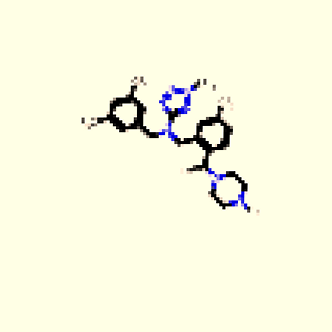 CCC(c1ccc(C(F)(F)F)cc1CN(Cc1cc(C(F)(F)F)cc(C(F)(F)F)c1)c1nnn(C)n1)N1CCN(CC)CC1